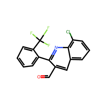 O=Cc1cc2cccc(Cl)c2nc1-c1ccccc1C(F)(F)F